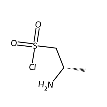 C[C@H](N)CS(=O)(=O)Cl